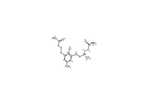 Cc1cc(CCCC(=O)O)c(Cl)c(OC[C@@H](C)CCC(N)=O)c1